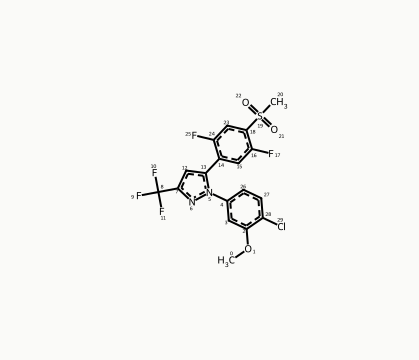 COc1cc(-n2nc(C(F)(F)F)cc2-c2cc(F)c(S(C)(=O)=O)cc2F)ccc1Cl